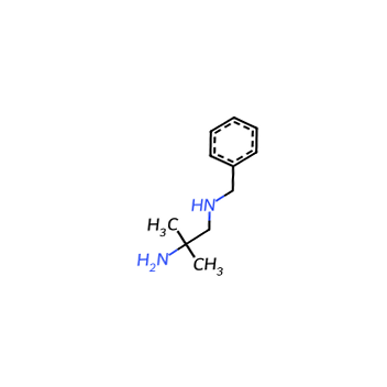 CC(C)(N)CNCc1ccccc1